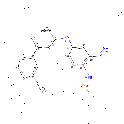 CS/C(=C\C(=O)c1cccc([N+](=O)[O-])c1)Nc1ccc(NPI)c(C=N)c1